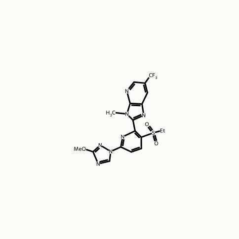 CCS(=O)(=O)c1ccc(-n2cnc(OC)n2)nc1-c1nc2cc(C(F)(F)F)cnc2n1C